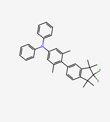 Cc1cc(N(c2ccccc2)c2ccccc2)cc(C)c1-c1ccc2c(c1)C(C)(C)C(F)(F)C2(C)C